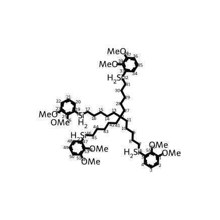 COc1cccc([SiH2]CCCCCC(CCCCC[SiH2]c2cccc(OC)c2OC)(CCCCC[SiH2]c2cccc(OC)c2OC)CCCCC[SiH2]c2cccc(OC)c2OC)c1OC